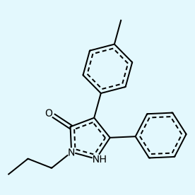 CCCn1[nH]c(-c2ccccc2)c(-c2ccc(C)cc2)c1=O